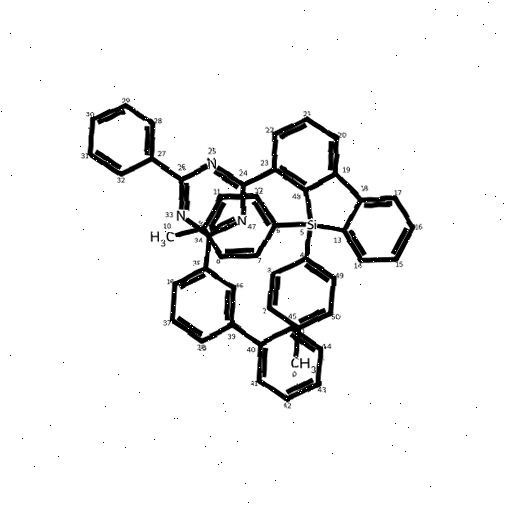 Cc1ccc([Si]2(c3ccc(C)cc3)c3ccccc3-c3cccc(-c4nc(-c5ccccc5)nc(-c5cccc(-c6ccccc6)c5)n4)c32)cc1